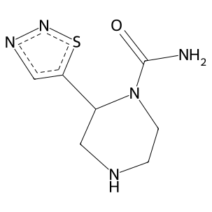 NC(=O)N1CCNCC1c1cnns1